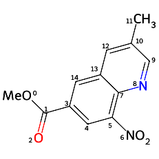 COC(=O)c1cc([N+](=O)[O-])c2ncc(C)cc2c1